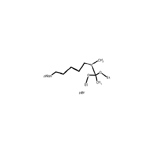 Br.CCCCCCCCCCCCCCN(C)C(C)(OCC)OCC